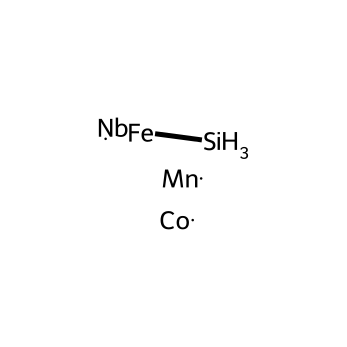 [Co].[Mn].[Nb].[SiH3][Fe]